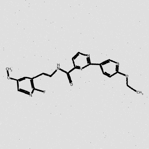 CCOc1ccc(-c2nccc(C(=O)NCCc3cc(OC)cnc3F)n2)cn1